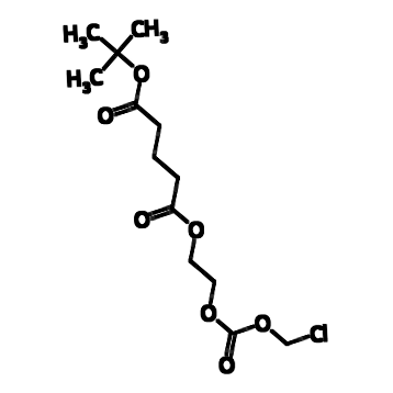 CC(C)(C)OC(=O)CCCC(=O)OCCOC(=O)OCCl